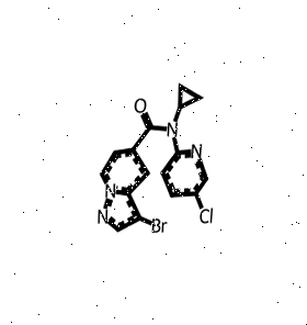 O=C(c1ccn2ncc(Br)c2c1)N(c1ccc(Cl)cn1)C1CC1